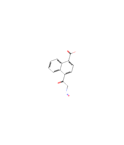 O=NCC(=O)c1ccc(C(=O)O)c2ccccc12